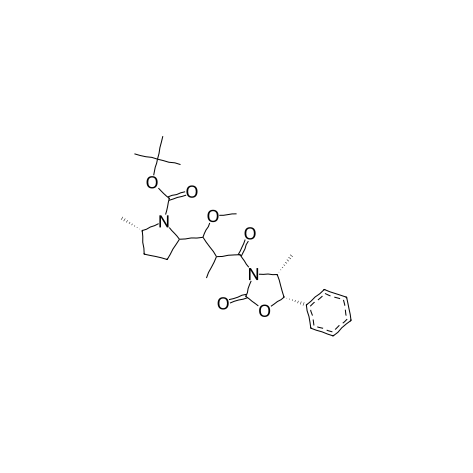 COC(C(C)C(=O)N1C(=O)O[C@@H](c2ccccc2)[C@H]1C)C1CC[C@H](C)N1C(=O)OC(C)(C)C